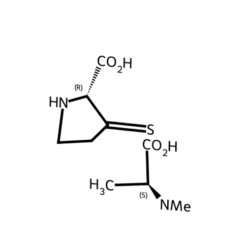 CN[C@@H](C)C(=O)O.O=C(O)[C@H]1NCCC1=S